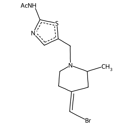 CC(=O)Nc1ncc(CN2CC/C(=C/Br)CC2C)s1